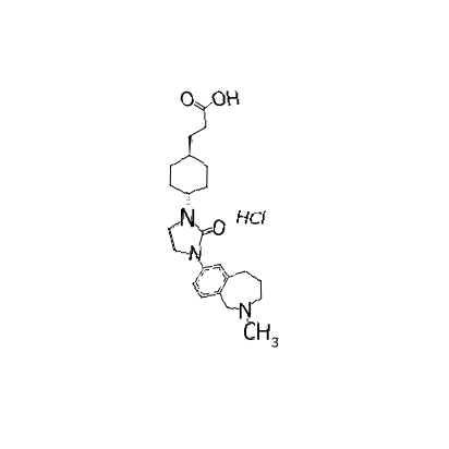 CN1CCCc2cc(N3CCN([C@H]4CC[C@H](CCC(=O)O)CC4)C3=O)ccc2C1.Cl